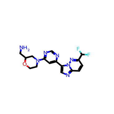 NCC1CN(c2cc(-c3cnc4ccc(C(F)F)nn34)ncn2)CCO1